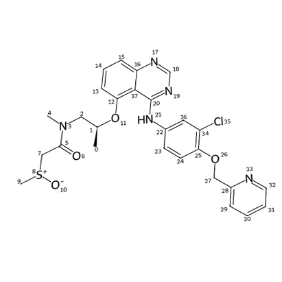 C[C@@H](CN(C)C(=O)C[S+](C)[O-])Oc1cccc2ncnc(Nc3ccc(OCc4ccccn4)c(Cl)c3)c12